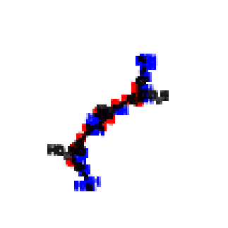 Cc1cc(OCCCC(=O)NCCNC(=O)CCC(NC(=O)OC(C)(C)C)C(=O)NCCNC(=O)CCCOc2cc(C)c(S(=O)(=O)N[C@H](CNC(=O)c3ccc4c(cnn4CCCNc4ncc[nH]4)c3)C(=O)O)c(C)c2)cc(C)c1S(=O)(=O)N[C@@H](CNC(=O)c1ccc2c(cnn2CCCNc2ncc[nH]2)c1)C(=O)O